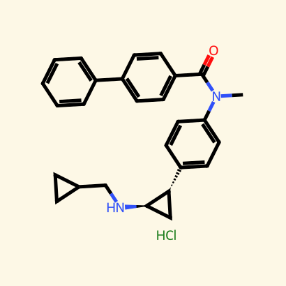 CN(C(=O)c1ccc(-c2ccccc2)cc1)c1ccc([C@@H]2C[C@H]2NCC2CC2)cc1.Cl